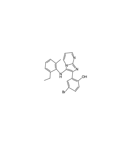 CCc1cccc(C)c1Nc1c(-c2cc(Br)ccc2O)nc2ncccn12